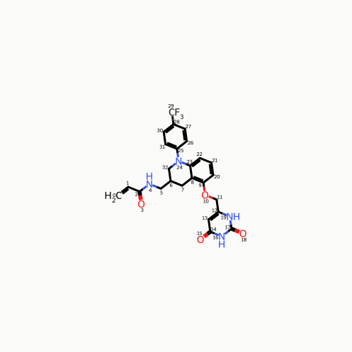 C=CC(=O)NCC1Cc2c(OCc3cc(=O)[nH]c(=O)[nH]3)cccc2N(c2ccc(C(F)(F)F)cc2)C1